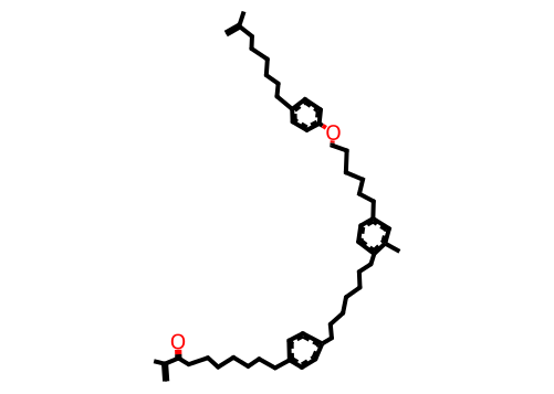 C=C(C)CCCCCCc1ccc(OCCCCCCc2ccc(CCCCCCCc3ccc(CCCCCCCC(=O)C(=C)C)cc3)c(C)c2)cc1